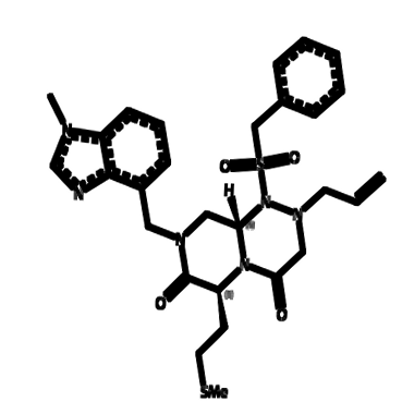 C=CCN1CC(=O)N2[C@@H](CCSC)C(=O)N(Cc3cccc4c3ncn4C)C[C@@H]2N1S(=O)(=O)Cc1ccccc1